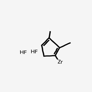 CC1=CC[C]([Zr])=C1C.F.F